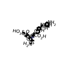 CC(O/N=C(\C(=O)N[C@@H]1C(=O)N(OS(=O)(=O)O)C1(C)C)c1csc(N)n1)(C(=O)O)[C@H]1CCc2cc(C(=N)N[C@H]3CC[C@H](N)[C@H]4C[C@H]43)ccc2O1